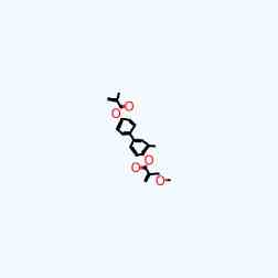 C=C(C)C(=O)Oc1ccc(-c2ccc(OC(=O)C(=C)COC)c(C)c2)cc1